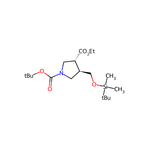 CCOC(=O)[C@H]1CN(C(=O)OC(C)(C)C)C[C@@H]1CO[Si](C)(C)C(C)(C)C